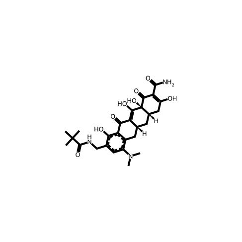 CN(C)c1cc(CNC(=O)C(C)(C)C)c(O)c2c1C[C@H]1C[C@H]3CC(O)=C(C(N)=O)C(=O)[C@@]3(O)C(O)=C1C2=O